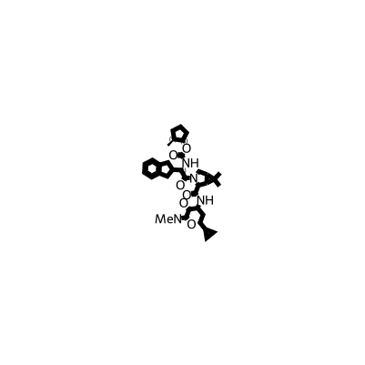 CNC(=O)C(=O)C(CCC1CC1)NC(=O)C1C2C(CN1C(=O)[C@@H](NC(=O)O[C@H]1CCC[C@@H]1C)C1Cc3ccccc3C1)C2(C)C